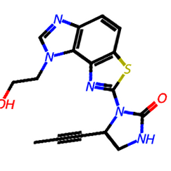 CC#CC1CNC(=O)N1c1nc2c(ccc3ncn(CCO)c32)s1